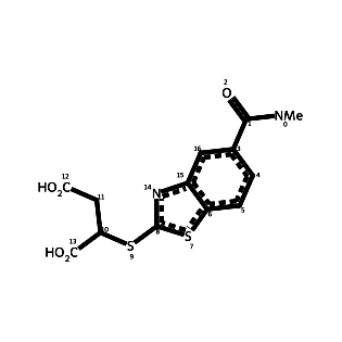 CNC(=O)c1ccc2sc(SC(CC(=O)O)C(=O)O)nc2c1